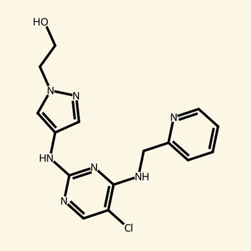 OCCn1cc(Nc2ncc(Cl)c(NCc3ccccn3)n2)cn1